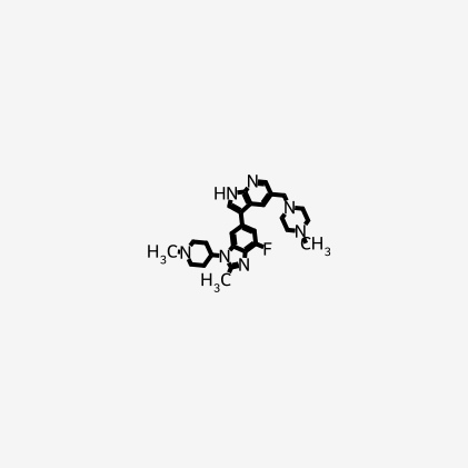 Cc1nc2c(F)cc(-c3c[nH]c4ncc(CN5CCN(C)CC5)cc34)cc2n1C1CCN(C)CC1